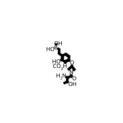 CC(O)C(N)C(=O)N1CC(Oc2ccc(CCB(O)O)c(O)c2C(=O)O)C1